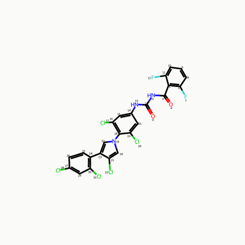 O=C(NC(=O)c1c(F)cccc1F)Nc1cc(Cl)c(-n2cc(Cl)c(-c3ccc(Cl)cc3Cl)c2)c(Cl)c1